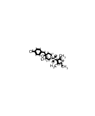 COC1(Cc2ccc(Cl)cc2)CCN(S(=O)(=O)c2c(C)nn(C)c2C)CC1